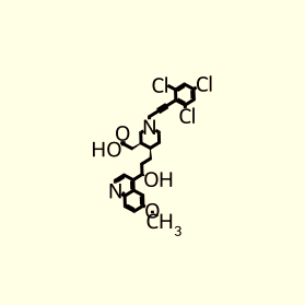 COc1ccc2nccc([C@@H](O)CC[C@@H]3CCN(CC#Cc4c(Cl)cc(Cl)cc4Cl)C[C@@H]3CC(=O)O)c2c1